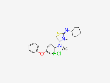 CC(=O)N(c1ccc(Oc2ccccc2)cc1)C1CSC(=NC2CCCCC2)N1C.Cl